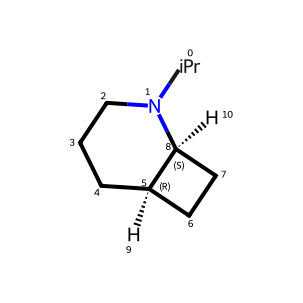 CC(C)N1CCC[C@@H]2CC[C@@H]21